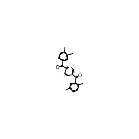 C=C(/C=C\C(=C/C)C(=O)c1cc(C)ccc1C)C(=O)c1ccc(C)c(C)c1